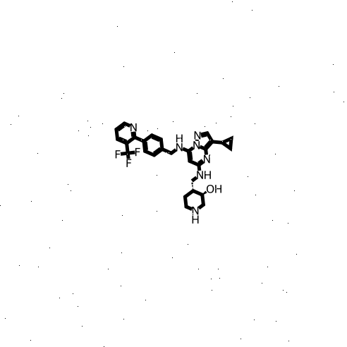 O[C@H]1CNCC[C@@H]1CNc1cc(NCc2ccc(-c3ncccc3C(F)(F)F)cc2)n2ncc(C3CC3)c2n1